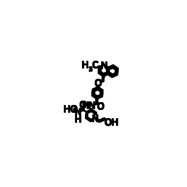 Cc1cc(COc2ccc(C(=O)N[C@@H]3CN(CCO)CC[C@@H]3C(=O)NO)cc2)c2ccccc2n1